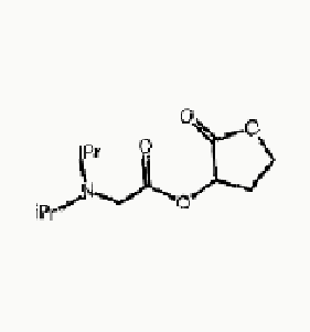 CC(C)N(CC(=O)OC1CCOC1=O)C(C)C